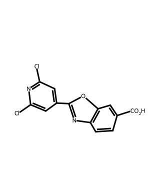 O=C(O)c1ccc2nc(-c3cc(Cl)nc(Cl)c3)oc2c1